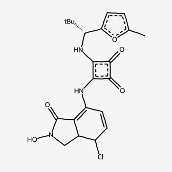 Cc1ccc([C@H](Nc2c(NC3=C4C(=O)N(O)CC4C(Cl)C=C3)c(=O)c2=O)C(C)(C)C)o1